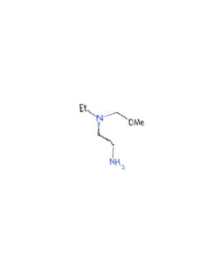 CCN(CCN)COC